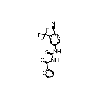 N#Cc1ncc(NC(=S)NC(=O)c2ccco2)cc1C(F)(F)F